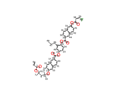 C=CC(=O)OC(C)(C)CC(C)(C)Oc1ccc2cc(C(=O)Oc3ccc(OC(=O)c4ccc5cc(OC(=O)/C=C\F)ccc5c4)c(CCC)c3)ccc2c1